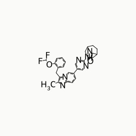 Cc1nc2ccc(-c3cnc(N4CC5CCC(C4)C(=O)N5)nc3)cn2c1Cc1ccccc1OC(F)F